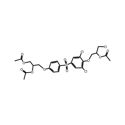 CC(=O)OCC(COc1ccc(S(=O)(=O)c2cc(Cl)c(OCC(CCl)OC(C)=O)c(Cl)c2)cc1)OC(C)=O